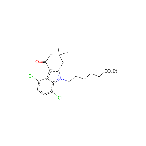 CCOC(=O)CCCCCn1c2c(c3c(Cl)ccc(Cl)c31)C(=O)CC(C)(C)C2